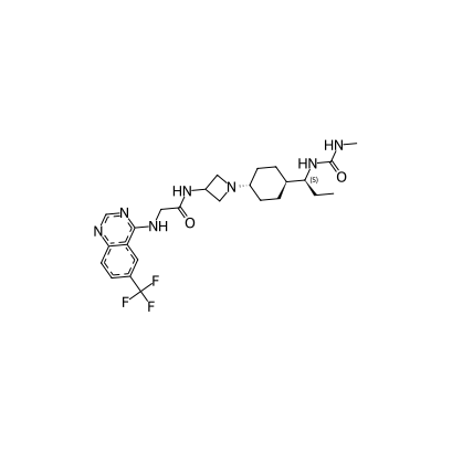 CC[C@H](NC(=O)NC)[C@H]1CC[C@H](N2CC(NC(=O)CNc3ncnc4ccc(C(F)(F)F)cc34)C2)CC1